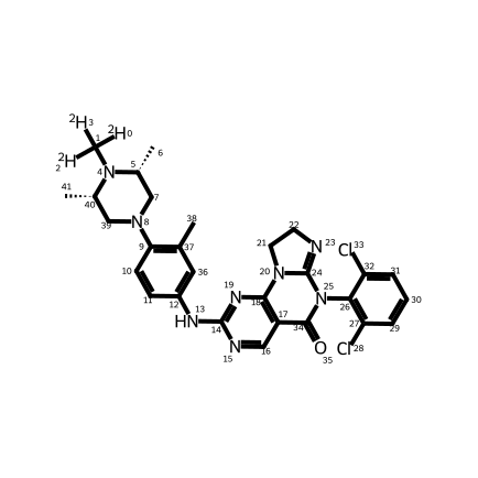 [2H]C([2H])([2H])N1[C@H](C)CN(c2ccc(Nc3ncc4c(n3)N3CCN=C3N(c3c(Cl)cccc3Cl)C4=O)cc2C)C[C@@H]1C